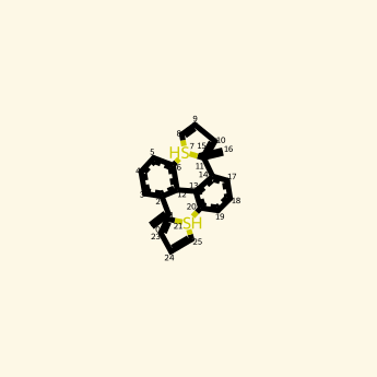 C=Cc1cccc([SH]2C=CC=C2)c1-c1c(C=C)cccc1[SH]1C=CC=C1